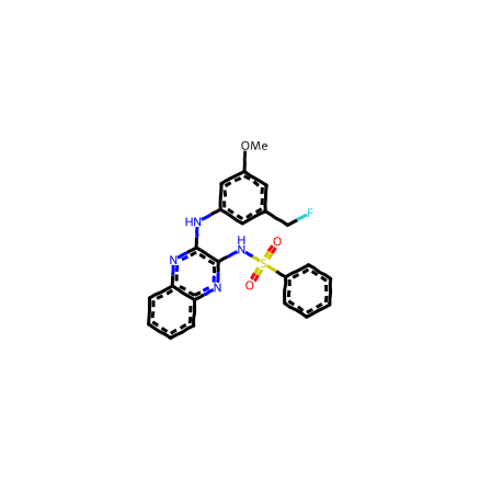 COc1cc(CF)cc(Nc2nc3ccccc3nc2NS(=O)(=O)c2ccccc2)c1